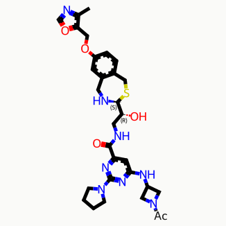 CC(=O)N1CC(Nc2cc(C(=O)NC[C@@H](O)[C@H]3NCc4cc(OCc5ocnc5C)ccc4CS3)nc(N3CCCC3)n2)C1